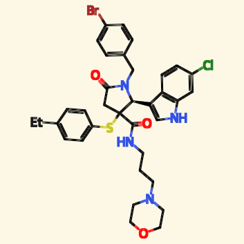 CCc1ccc(SC2(C(=O)NCCCN3CCOCC3)CC(=O)N(Cc3ccc(Br)cc3)[C@H]2c2c[nH]c3cc(Cl)ccc23)cc1